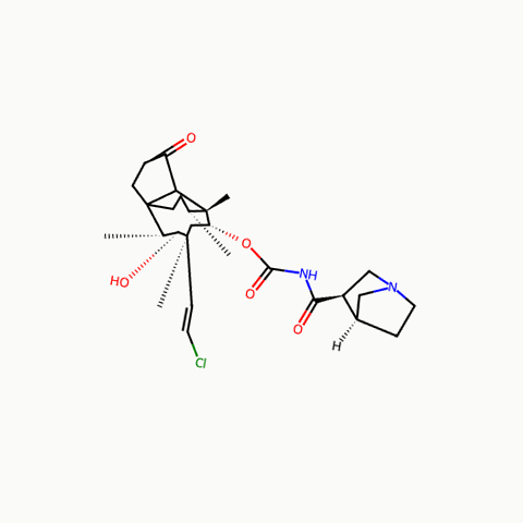 C[C@@H]1CCC23CCC(=O)C2[C@]1(C)[C@H](OC(=O)NC(=O)[C@H]1CN2CC[C@@H]1C2)C[C@@](C)(C=CCl)[C@@H](O)[C@@H]3C